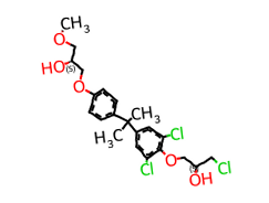 COC[C@H](O)COc1ccc(C(C)(C)c2cc(Cl)c(OC[C@H](O)CCl)c(Cl)c2)cc1